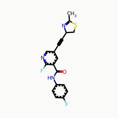 CC1=NC(C#Cc2cnc(F)c(C(=O)Nc3ccc(F)cc3)c2)CS1